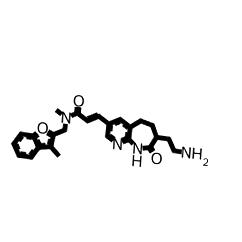 Cc1c(CN(C)C(=O)/C=C/c2cnc3c(c2)CCC(CCN)C(=O)N3)oc2ccccc12